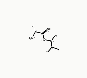 CC(C)N(C)OC(=N)[C@@H](C)N